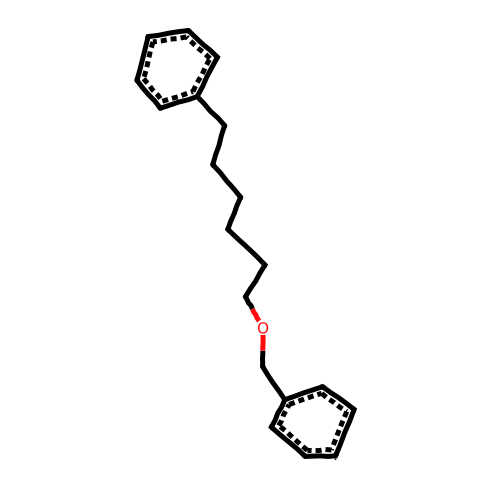 [c]1ccc(COCCCCCCc2ccccc2)cc1